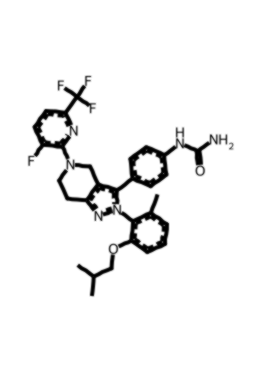 Cc1cccc(OCC(C)C)c1-n1nc2c(c1-c1ccc(NC(N)=O)cc1)CN(c1nc(C(F)(F)F)ccc1F)CC2